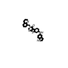 O=c1c2c3c(sc2ncn1Cc1cccc2cccnc12)CC(Nc1ccc2[nH]ccc2c1)CC3